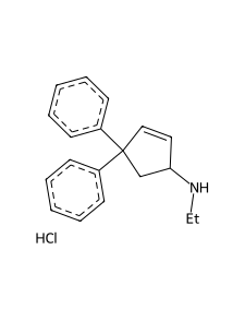 CCNC1C=CC(c2ccccc2)(c2ccccc2)C1.Cl